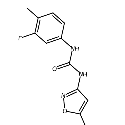 Cc1cc(NC(=O)Nc2ccc(C)c(F)c2)no1